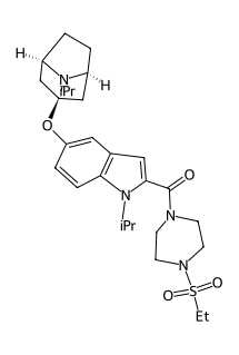 CCS(=O)(=O)N1CCN(C(=O)c2cc3cc(O[C@H]4C[C@H]5CC[C@@H](C4)N5C(C)C)ccc3n2C(C)C)CC1